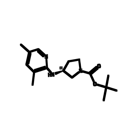 Cc1cnc(N[C@@H]2CCN(C(=O)OC(C)(C)C)C2)c(C)c1